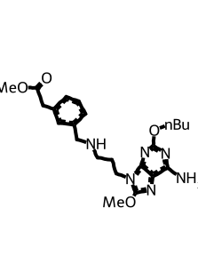 CCCCOc1nc(N)c2nc(OC)n(CCCNCc3cccc(CC(=O)OC)c3)c2n1